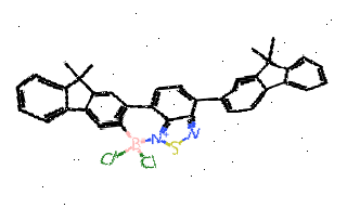 CC1(C)c2ccccc2-c2ccc(-c3ccc4c5c3ns[n+]5[B-](Cl)(Cl)c3cc5c(cc3-4)C(C)(C)c3ccccc3-5)cc21